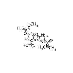 COC[C@H](C)Oc1cc(Oc2cnc(C(=O)N(C)C)cn2)cc(C(=O)O)c1